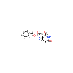 CCCC1(NC(=O)OCc2ccccc2)CCC(=O)NC1=O